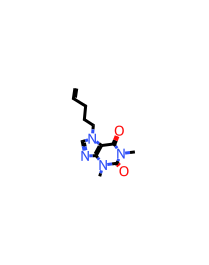 C=CCCCn1cnc2c1c(=O)n(C)c(=O)n2C